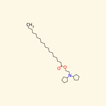 CCCCCCCCCCCCCCCCCC(=O)OCCN(C1CCCC1)C1CCCC1